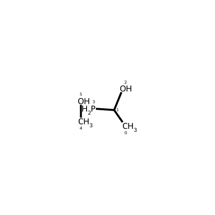 CC(O)P.CO